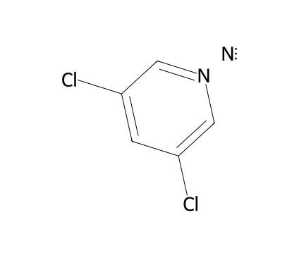 Clc1cncc(Cl)c1.[N]